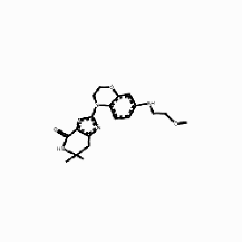 COCCNc1ccc2c(c1)OCCN2c1nc2c(s1)C(=O)NC(C)(C)C2